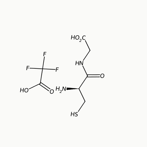 N[C@H](CS)C(=O)NCC(=O)O.O=C(O)C(F)(F)F